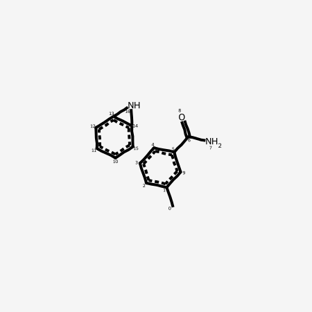 Cc1cccc(C(N)=O)c1.c1ccc2c(c1)N2